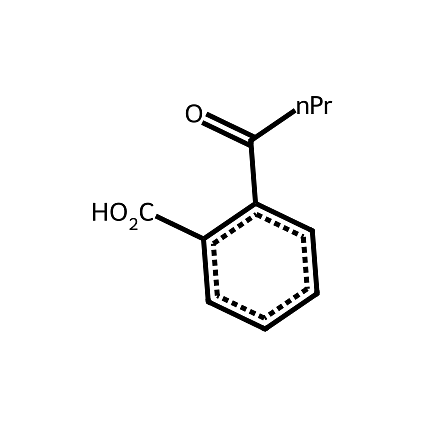 [CH2]CCC(=O)c1ccccc1C(=O)O